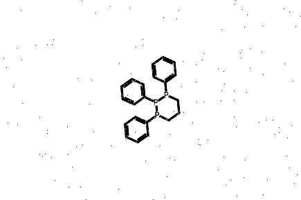 c1ccc(P2CCCP(c3ccccc3)P2c2ccccc2)cc1